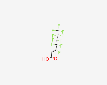 O=C(O)C=C(F)C(F)(F)C(F)(F)C(F)(F)C(F)(F)F